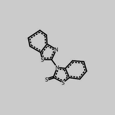 S=c1sc2ccccc2n1-c1nc2ccccc2s1